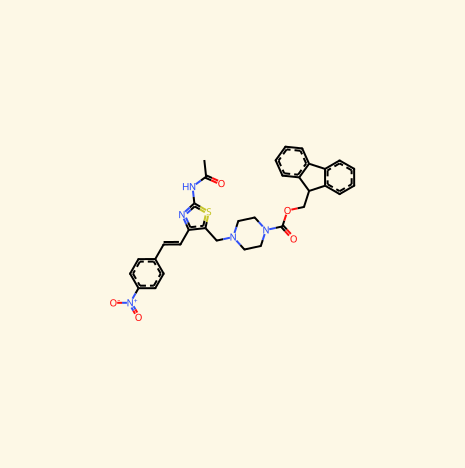 CC(=O)Nc1nc(C=Cc2ccc([N+](=O)[O-])cc2)c(CN2CCN(C(=O)OCC3c4ccccc4-c4ccccc43)CC2)s1